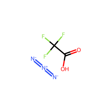 O=C(O)C(F)(F)F.[N-]=[N+]=[N-]